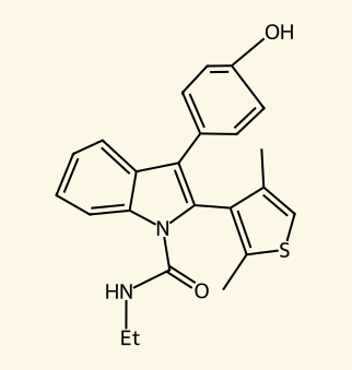 CCNC(=O)n1c(-c2c(C)csc2C)c(-c2ccc(O)cc2)c2ccccc21